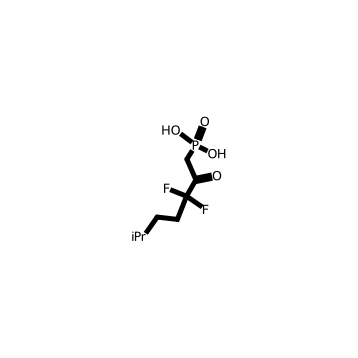 CC(C)CCC(F)(F)C(=O)CP(=O)(O)O